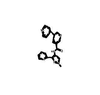 Cn1cc(NC(=O)c2cncc(-c3ccncc3)c2)c(-c2ccccn2)n1